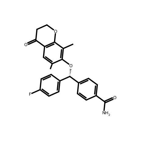 Cc1cc2c(c(C)c1O[C@@H](c1ccc(F)cc1)c1ccc(C(N)=O)cc1)OCCC2=O